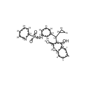 O=c1oc2ccccc2c(O)c1C(c1cccc(NS(=O)(=O)c2ccccn2)c1)C1CC1